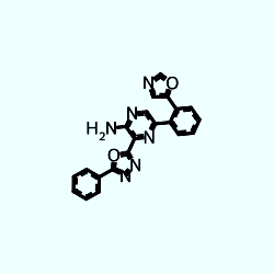 Nc1ncc(-c2ccccc2-c2cnco2)nc1-c1nnc(-c2ccccc2)o1